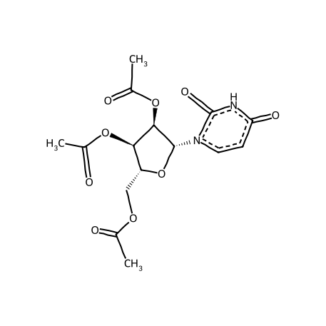 CC(=O)OC[C@H]1O[C@@H](n2ccc(=O)[nH]c2=O)[C@H](OC(C)=O)[C@@H]1OC(C)=O